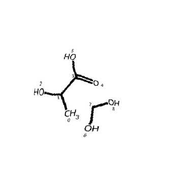 CC(O)C(=O)O.OCO